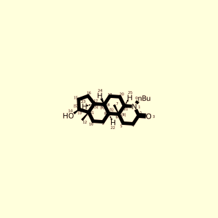 CCCCN1C(=O)CC[C@]2(C)[C@H]3CC[C@]4(C)[C@@H](O)CC[C@H]4[C@@H]3CC[C@@H]12